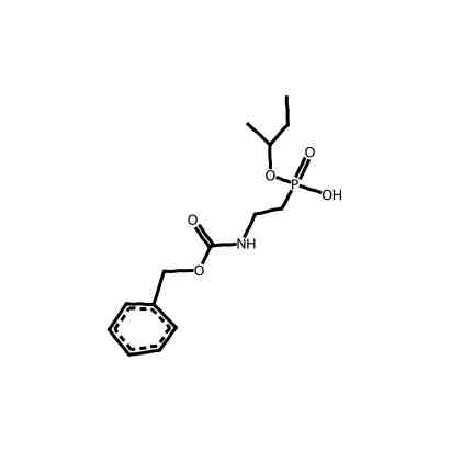 CCC(C)OP(=O)(O)CCNC(=O)OCc1ccccc1